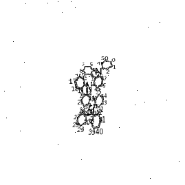 c1ccc(-n2c3ccccc3c3c(-n4c5ccccc5c5ccc([Si](c6ccccc6)(c6ccccc6)c6ccccc6)cc54)cccc32)cc1